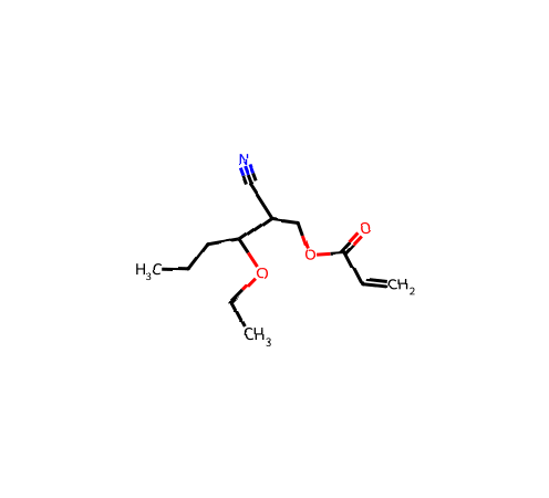 C=CC(=O)OCC(C#N)C(CCC)OCC